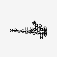 CCN(CC)c1ccc(NC(=O)c2cccc(C(=O)N(C)CCN3CCC[C@H]3C(=O)NCCOCCOCCOCCOCCOCCOCCOCCOC)c2)c(-c2cc(C(N)=O)ccn2)c1